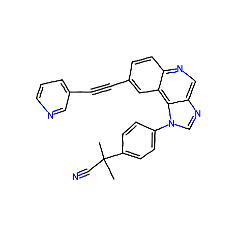 CC(C)(C#N)c1ccc(-n2cnc3cnc4ccc(C#Cc5cccnc5)cc4c32)cc1